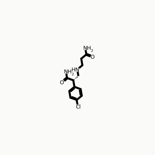 NC(=O)CCNC[C@@H](C(N)=O)c1ccc(Cl)cc1